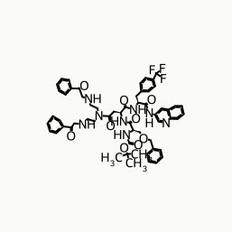 CC(C)(C)OC(=O)N[C@H](COCc1ccccc1)C(=O)N[C@@H](CC(=O)N(CCNCC(=O)c1ccccc1)CCNCC(=O)c1ccccc1)C(=O)N[C@@H](Cc1ccc(C(F)(F)F)cc1)C(=O)Nc1cnc2ccccc2c1